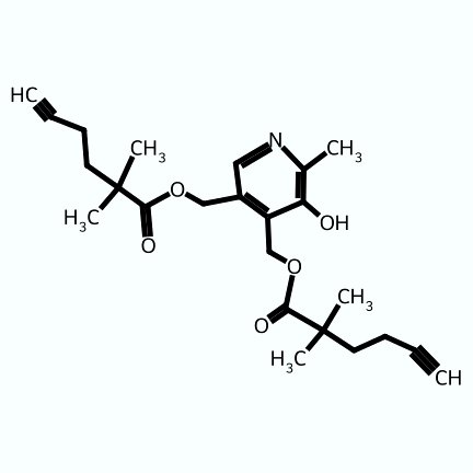 C#CCCC(C)(C)C(=O)OCc1cnc(C)c(O)c1COC(=O)C(C)(C)CCC#C